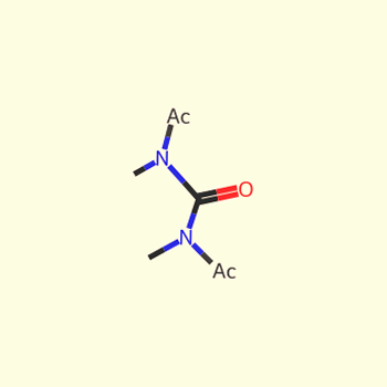 CC(=O)N(C)C(=O)N(C)C(C)=O